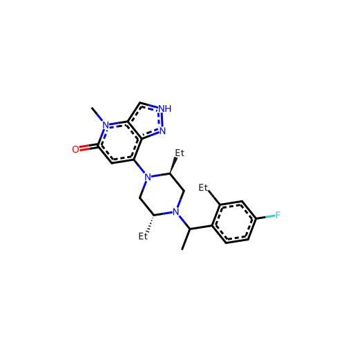 CCc1cc(F)ccc1C(C)N1C[C@H](CC)N(c2cc(=O)n(C)c3c[nH]nc23)C[C@H]1CC